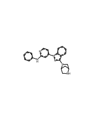 c1ccc(Nc2cc(-n3nc(N4CC5CC4CN5)c4ccccc43)ccn2)cc1